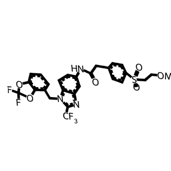 COCCS(=O)(=O)c1ccc(CC(=O)Nc2ccc3c(c2)nc(C(F)(F)F)n3Cc2cccc3c2OC(F)(F)O3)cc1